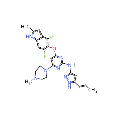 C/C=C/c1cc(Nc2nc(Oc3c(F)cc4[nH]c(C)cc4c3F)cc(N3CCN(C)CC3)n2)n[nH]1